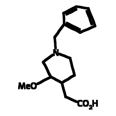 COC1CN(Cc2ccccc2)CCC1CC(=O)O